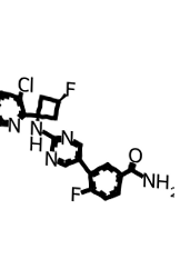 NC(=O)c1ccc(F)c(-c2cnc(N[C@]3(c4ncccc4Cl)C[C@H](F)C3)nc2)c1